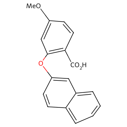 COc1ccc(C(=O)O)c(Oc2ccc3ccccc3c2)c1